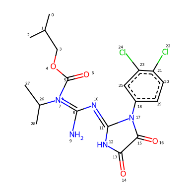 CC(C)COC(=O)[N+](=C(N)N=C1NC(=O)C(=O)N1c1ccc(Cl)c(Cl)c1)C(C)C